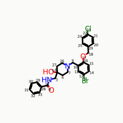 O=C(NCC1(O)CCN(Cc2cc(Br)ccc2OCc2ccc(Cl)cc2)CC1)c1ccccc1